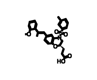 COc1ccccc1/C(C)=C/c1ccc2c(c1)N(S(=O)(=O)c1cccc(C)c1)C[C@H](CCC(=O)O)O2